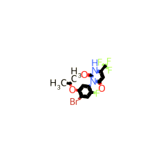 CC(C)Oc1cc(-n2c(=O)cc(C(F)(F)F)[nH]c2=O)c(F)cc1Br